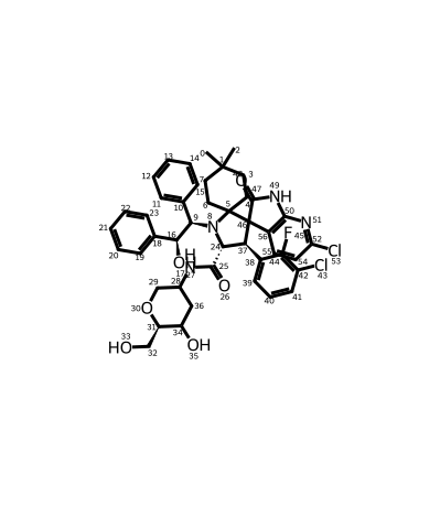 CC1(C)CCC2(CC1)N([C@H](c1ccccc1)[C@@H](O)c1ccccc1)[C@@H](C(=O)NC1CO[C@H](CO)C(O)C1)[C@H](c1cccc(Cl)c1F)C21C(=O)Nc2nc(Cl)ccc21